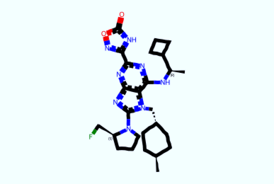 C[C@@H](Nc1nc(-c2noc(=O)[nH]2)nc2nc(N3CCC[C@H]3CF)n(C[C@H]3CC[C@H](C)CC3)c12)C1CCC1